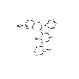 Cc1ccc(Cc2cc3c(c4ccccc24)NCN([C@H]2CCCC[C@@H]2O)C3=O)cn1